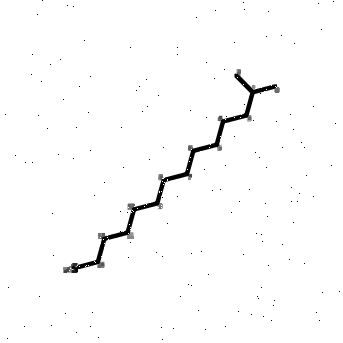 CC(C)CCCCCCCCCCC[S]